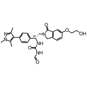 Cc1nn(C)c(C)c1-c1ccc([C@H](CN2Cc3ccc(OCCO)cc3C2=O)NC(=O)NC=O)cc1